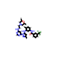 Cc1cc(Nc2cc(NC(=O)c3cccc(C(F)(F)F)c3)ccc2C)n(-c2cc(NCCN3CC(C)OC(C)C3)ncn2)n1